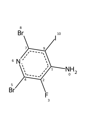 Nc1c(F)c(Br)nc(Br)c1I